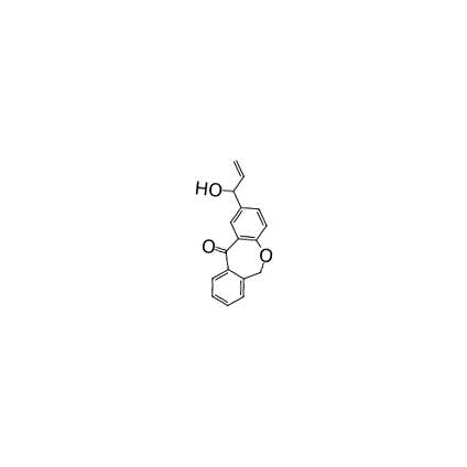 C=CC(O)c1ccc2c(c1)C(=O)c1ccccc1CO2